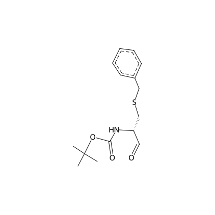 CC(C)(C)OC(=O)N[C@@H](C=O)CSCc1ccccc1